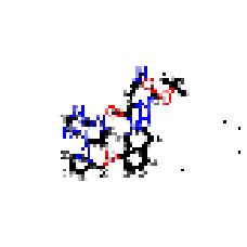 CC(C)(C)OC(=O)N[C@H](CC#N)C(=O)N1CCc2cccc(OC[C@H]3CCCN3c3ccnc4ncnn34)c2C1